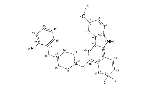 COc1ccc2[nH]c3c4c(c(CN5CCN(Cc6ccccc6F)CC5)cc3c2c1)OC(C)(C)C=C4